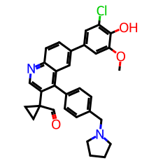 COc1cc(-c2ccc3ncc(C4(C=O)CC4)c(-c4ccc(CN5CCCC5)cc4)c3c2)cc(Cl)c1O